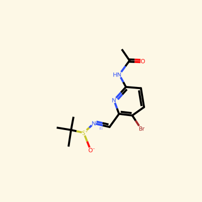 CC(=O)Nc1ccc(Br)c(/C=N/[S+]([O-])C(C)(C)C)n1